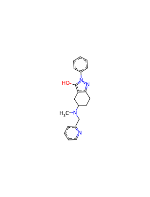 CN(Cc1ccccn1)C1CCc2nn(-c3ccccc3)c(O)c2C1